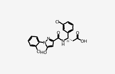 O=C(O)C[C@H](NC(=O)c1cc(O)n(-c2ccccc2Cl)n1)c1cccc(Cl)c1